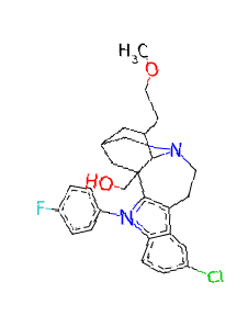 COCCC1CC2CN3CCc4c(n(-c5ccc(F)cc5)c5ccc(Cl)cc45)C(CO)(C2)C13